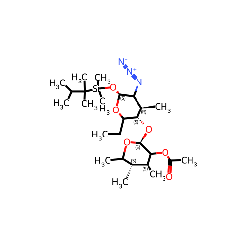 CCC1O[C@@H](O[Si](C)(C)C(C)(C)C(C)C)C(N=[N+]=[N-])[C@@H](C)[C@@H]1O[C@@H]1OC(C)[C@@H](C)[C@H](C)C1OC(C)=O